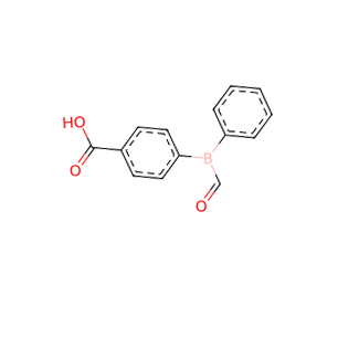 O=CB(c1ccccc1)c1ccc(C(=O)O)cc1